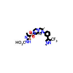 Cc1nc(NC(=O)O)sc1S(=O)(=O)N1CCN(C[C@H](C)N(C=O)c2cccc(-c3cn(C)nc3C(F)(F)F)c2)CC1